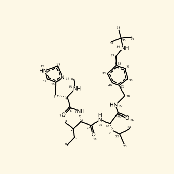 CCC(C)[C@H](NC(=O)[C@H](Cc1c[nH]cn1)NC)C(=O)N[C@@H](CC(C)C)C(=O)NCc1ccc(CNC(C)(C)C)cc1